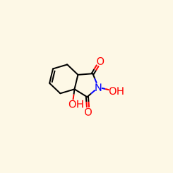 O=C1C2CC=CCC2(O)C(=O)N1O